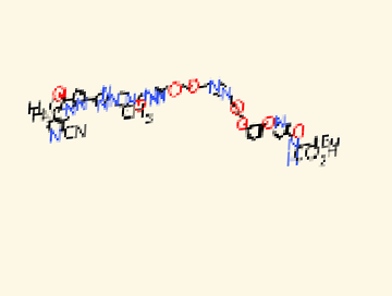 C[C@@H]1CN(c2ncc(-c3ccc4c(n3)N(Cc3cccnc3C#N)C(C)(C)C4=O)cn2)CCN1C(=O)Cn1cc(COCCOCCN2CCN(CCOCCOc3cccc(Oc4ccc(C(=O)N[C@@H](CCC(C)(C)C)C(=O)O)cn4)c3)CC2)nn1